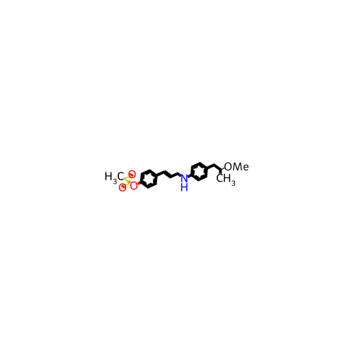 CO[C@H](C)Cc1ccc(NC/C=C/c2ccc(OS(C)(=O)=O)cc2)cc1